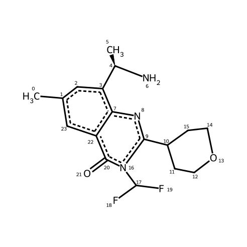 Cc1cc([C@@H](C)N)c2nc(C3CCOCC3)n(C(F)F)c(=O)c2c1